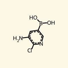 Nc1cc(B(O)O)cnc1Cl